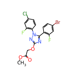 COC(=O)COc1nc(-c2ccc(Br)cc2F)n(-c2ccc(Cl)cc2F)n1